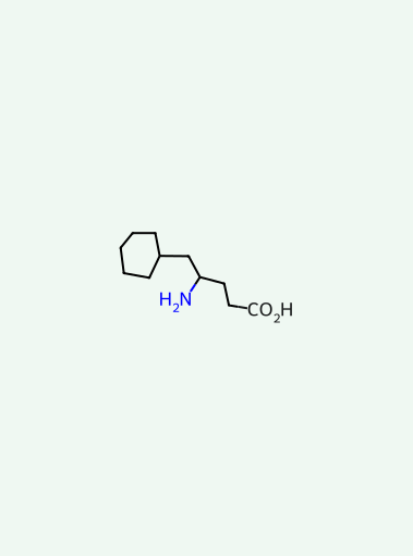 NC(CCC(=O)O)CC1CCCCC1